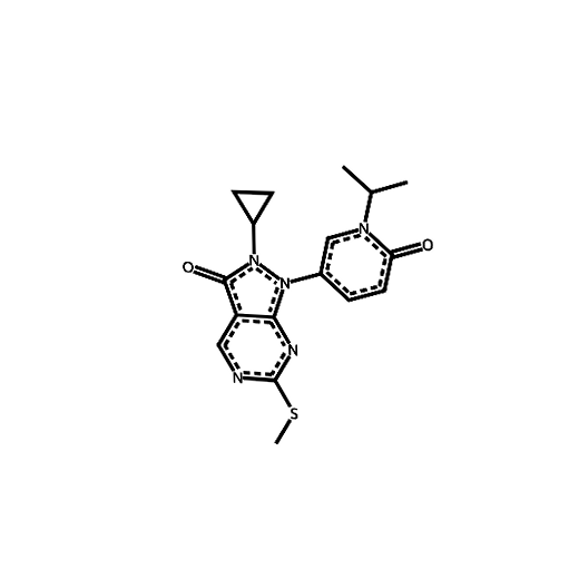 CSc1ncc2c(=O)n(C3CC3)n(-c3ccc(=O)n(C(C)C)c3)c2n1